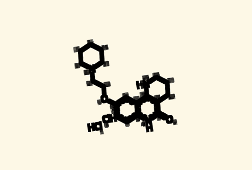 Cl.Cl.O=c1[nH]c2ccc(OCCN3CCCCC3)cc2c2c1CCCN2